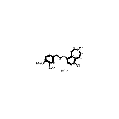 COc1ccc(CCOc2ccc(Cl)c3c2CCN(C)CC3)cc1OC.Cl